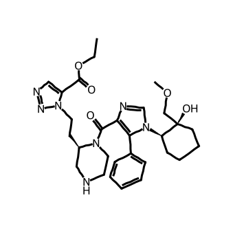 CCOC(=O)c1cnnn1CC[C@@H]1CNCCN1C(=O)c1ncn([C@@H]2CCCC[C@@]2(O)COC)c1-c1ccccc1